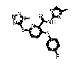 Cc1csc(NC(=O)c2nc(Sc3nnnn3C)ccc2Sc2ccc(F)cc2)n1